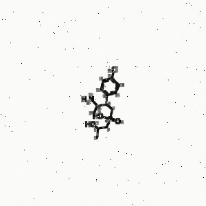 CC(O)CP(=O)(O)CC(c1ccc(Cl)cc1)C(C)N